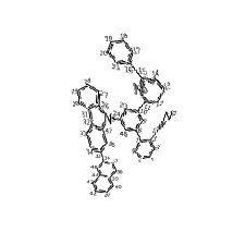 N#Cc1ccccc1-c1cc(-c2cccc(-c3ccccc3)n2)cc(-n2c3ccccc3c3ccc(-c4ccc5ccccc5c4)cc32)c1